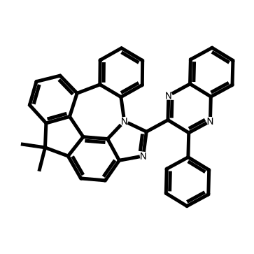 CC1(C)c2cccc3c2-c2c1ccc1nc(-c4nc5ccccc5nc4-c4ccccc4)n(c21)-c1ccccc1-3